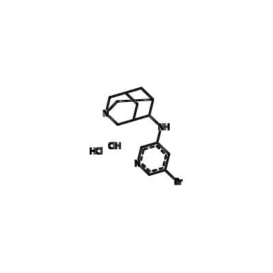 Brc1cncc(NC2C3CC4CC2CN(C4)C3)c1.Cl.Cl